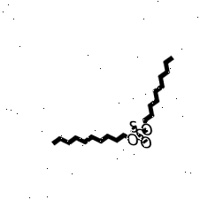 CCCCCCCCCCOS(=O)(=S)OCCCCCCCCCC